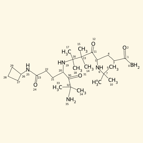 BC(=O)CCC(NC(C)(C)C)C(=O)C(C)(C)C(C)(C)NC(CCC(=O)NC1CCC1)C(=O)C(C)(C)N